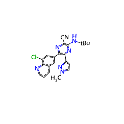 Cn1ccc(-c2nc(NC(C)(C)C)c(C#N)nc2-c2cc(Cl)c3ncccc3c2)n1